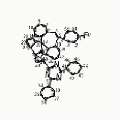 Fc1ccc(C2=Cc3ccccc3C3(c4ccccc42)c2ccccc2-c2ccc(-c4nc(-c5ccccc5)nc(-c5ccccc5)n4)cc23)cc1